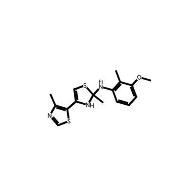 COc1cccc(NC2(C)NC(c3scnc3C)=CS2)c1C